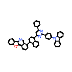 c1ccc(-c2cc(-c3ccc(-c4cccc5c4cnc4c6ccccc6oc54)c4ccccc34)nc(-c3ccc(-n4c5ccccc5c5ccccc54)cc3)n2)cc1